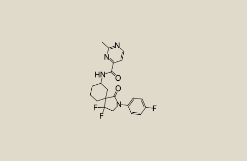 Cc1nccc(C(=O)NC2CCCC3(C2)C(=O)N(c2ccc(F)cc2)CC3(F)F)n1